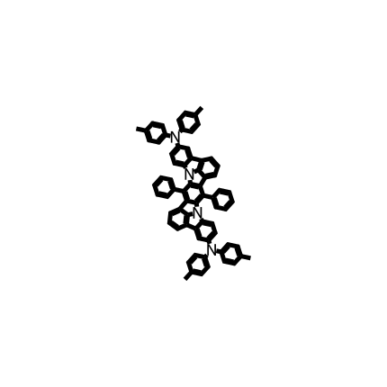 Cc1ccc(N(c2ccc(C)cc2)c2ccc3c(c2)c2cccc4c5c(-c6ccccc6)c6c(c(-c7ccccc7)c5n3c24)c2cccc3c4cc(N(c5ccc(C)cc5)c5ccc(C)cc5)ccc4n6c32)cc1